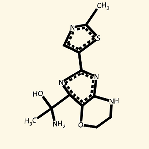 Cc1ncc(-c2nc3c(c(C(C)(N)O)n2)OCCN3)s1